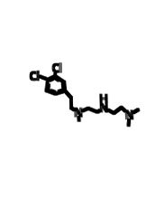 CN(C)CCNCCN(C)CCc1ccc(Cl)c(Cl)c1